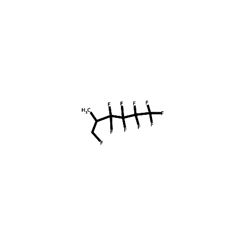 CC(CF)C(F)(F)C(F)(F)C(F)(F)C(F)(F)F